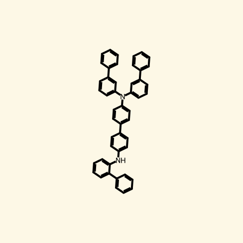 c1ccc(-c2cccc(N(c3ccc(-c4ccc(Nc5ccccc5-c5ccccc5)cc4)cc3)c3cccc(-c4ccccc4)c3)c2)cc1